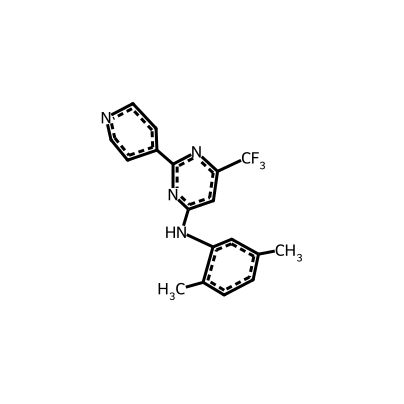 Cc1ccc(C)c(Nc2cc(C(F)(F)F)nc(-c3ccncc3)n2)c1